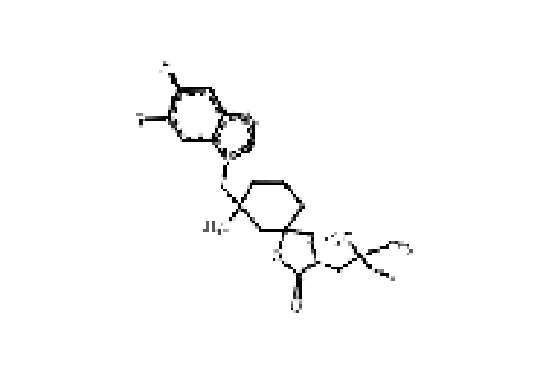 CC(C)(C)CN1CC2(CCCC(C)(Cn3cnc4cc(F)c(F)cc43)C2)OC1=O